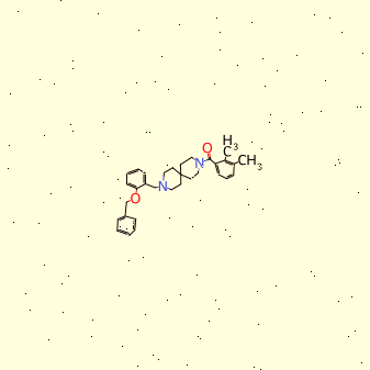 Cc1cccc(C(=O)N2CCC3(CCN(Cc4ccccc4OCc4ccccc4)CC3)CC2)c1C